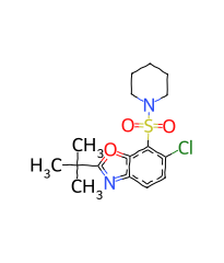 CC(C)(C)c1nc2ccc(Cl)c(S(=O)(=O)N3CCCCC3)c2o1